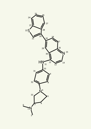 CN(C)C1CCN(c2ccc(Nc3ccnc4ccc(-c5csc6ccccc56)cc34)cc2)C1